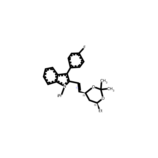 CC[C@H]1C[C@@H](/C=C/c2c(-c3ccc(F)cc3)c3ccccc3n2C(C)C)OC(C)(C)O1